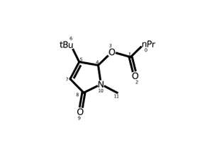 CCCC(=O)OC1C(C(C)(C)C)=CC(=O)N1C